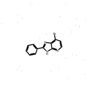 Brc1ccnc2[nH]c(-c3ccccc3)nc12